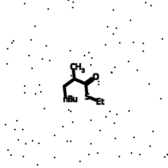 CCCCCC(C)C(=O)SCC